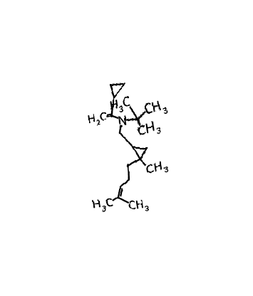 C=C(C1CC1)N(CC1CC1(C)CCC=C(C)C)C(C)(C)C